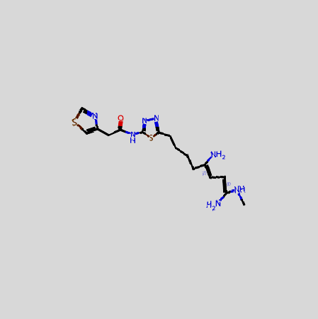 CN/C(N)=C/C=C(\N)CCCCc1nnc(NC(=O)Cc2cscn2)s1